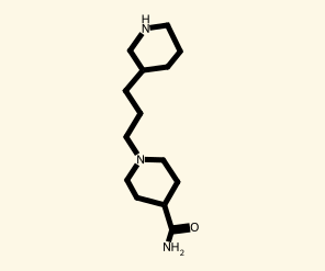 NC(=O)C1CCN(CCCC2CCCNC2)CC1